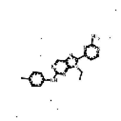 CCn1c(-c2ccnc(N)n2)nc2cnc(Nc3ccc(C)cc3)nc21